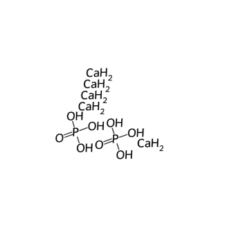 O=P(O)(O)O.O=P(O)(O)O.[CaH2].[CaH2].[CaH2].[CaH2].[CaH2]